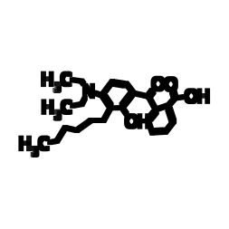 CCCCCCc1c(N(CC)CC)ccc(C(=O)c2ccccc2C(=O)O)c1O